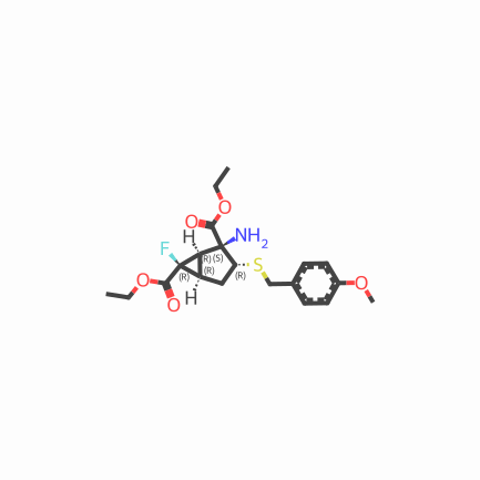 CCOC(=O)[C@@]1(N)[C@H]2[C@@H](C[C@H]1SCc1ccc(OC)cc1)[C@]2(F)C(=O)OCC